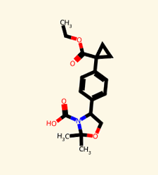 CCOC(=O)C1(c2ccc(C3COC(C)(C)N3C(=O)O)cc2)CC1